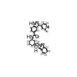 Cc1cc(-c2n[nH]c3ccc(C(=O)N[C@H]4CCC[C@](O)(Cn5cc6ccccc6n5)C4)cc23)ccn1